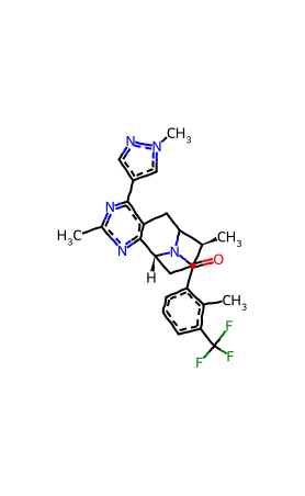 Cc1nc(-c2cnn(C)c2)c2c(n1)[C@H]1CC[C@H](C)C(C2)N1C(=O)c1cccc(C(F)(F)F)c1C